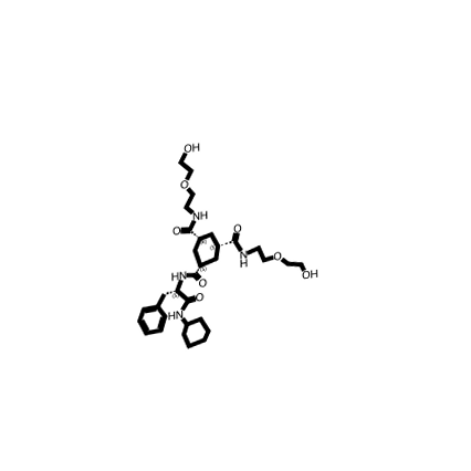 O=C(NCCOCCO)[C@@H]1C[C@H](C(=O)NCCOCCO)C[C@H](C(=O)N[C@@H](Cc2ccccc2)C(=O)NC2CCCCC2)C1